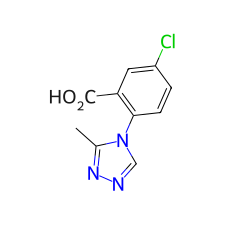 Cc1nncn1-c1ccc(Cl)cc1C(=O)O